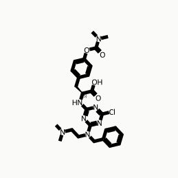 CN(C)CCN(Cc1ccccc1)c1nc(Cl)nc(N[C@@H](Cc2ccc(OC(=O)N(C)C)cc2)C(=O)O)n1